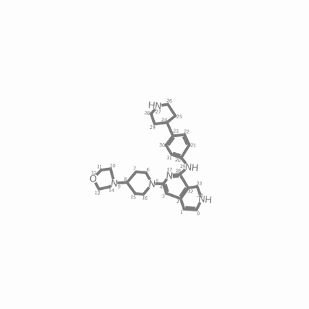 C1=Cc2cc(N3CCC(N4CCOCC4)CC3)nc(Nc3ccc(C4CCNCC4)cc3)c2CN1